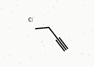 C#CCC.[C]